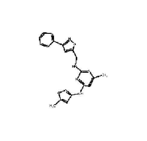 Cc1cc(Nc2cc(C)on2)nc(NCc2cc(-c3ccccc3)no2)n1